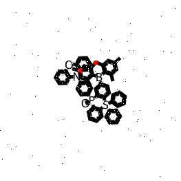 Cc1cc(C)c(B(c2ccc3c(c2)P(=O)(c2ccc(N4c5ccccc5Oc5ccccc54)cc2)c2ccccc2S3(c2ccccc2)c2ccccc2)c2c(C)cc(C)cc2C)c(C)c1